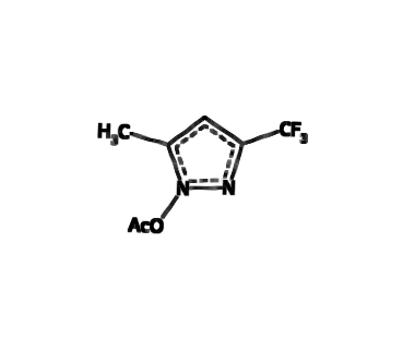 CC(=O)On1nc(C(F)(F)F)cc1C